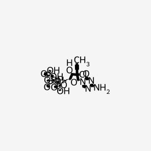 CC#CC1(Cl)[C@@H](O)[C@@H](COP(=O)(O)OP(=O)(O)OP(=O)(O)O)O[C@H]1n1cnc(N)nc1=O